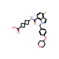 O=C(NC1CC2(C1)CC(C(=O)O)C2)c1ccc(F)c2ccn(Cc3ccc(OC4CCOCC4)cc3)c12